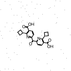 O=C(c1ccc(C(=O)O)c(C2CCC2)n1)c1ccc(C(=O)O)c(C2CCC2)n1